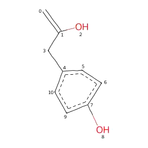 C=C(O)Cc1ccc(O)cc1